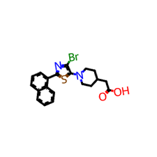 O=C(O)CC1CCN(c2sc(-c3cccc4ccccc34)nc2Br)CC1